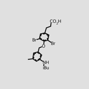 CCC(C)Nc1cc(C)cc(COc2c(Br)cc(CCC(=O)O)cc2Br)c1